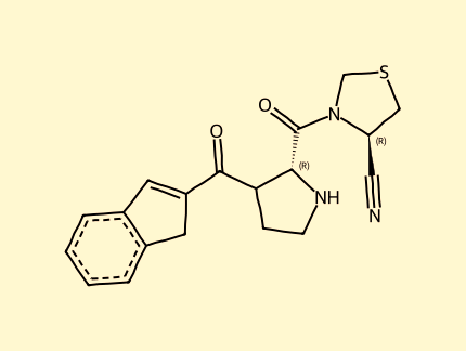 N#C[C@@H]1CSCN1C(=O)[C@@H]1NCCC1C(=O)C1=Cc2ccccc2C1